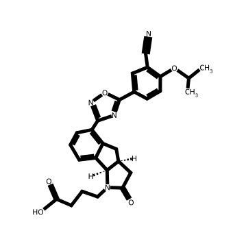 CC(C)Oc1ccc(-c2nc(-c3cccc4c3C[C@H]3CC(=O)N(CCCC(=O)O)[C@@H]43)no2)cc1C#N